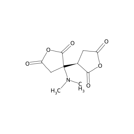 CN(C)C1([C@H]2CC(=O)OC2=O)CC(=O)OC1=O